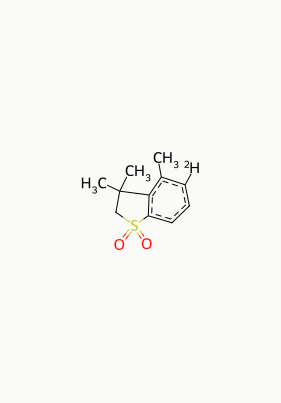 [2H]c1ccc2c(c1C)C(C)(C)CS2(=O)=O